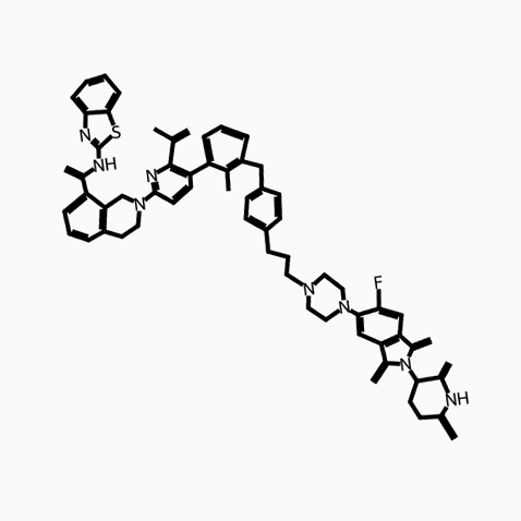 C=C1CCC(n2c(=C)c3cc(F)c(N4CCN(CCCc5ccc(Cc6cccc(-c7ccc(N8CCc9cccc(C(=C)Nc%10nc%11ccccc%11s%10)c9C8)nc7C(=C)C)c6C)cc5)CC4)cc3c2=C)C(=C)N1